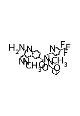 CN(C(=O)C12CC(CO1)C2)N(Cc1ccc(C(F)(F)F)cn1)C(=O)c1ccc2nc(N)c3cnn(C)c3c2c1